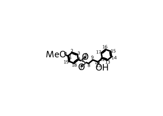 COc1ccc(S(=O)(=O)CCC(O)c2ccccc2)cc1